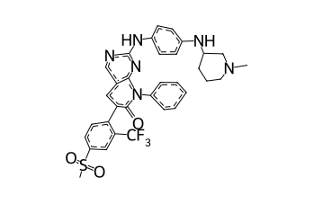 CN1CCCC(Nc2ccc(Nc3ncc4cc(-c5ccc(S(C)(=O)=O)cc5C(F)(F)F)c(=O)n(-c5ccccc5)c4n3)cc2)C1